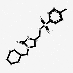 Cc1ccc(S(=O)(=O)OCC2CN(CC3CCCCC3)C(=O)O2)cc1